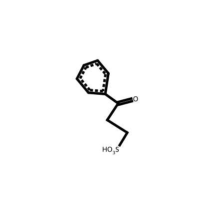 O=C(CCS(=O)(=O)O)c1ccccc1